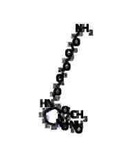 CCC(C(=O)NC=O)N1/N=C\C/C=C\C=C(\NCCOCCOCCOCCOCCOCCN)CC1=O